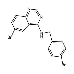 Brc1ccc(CNc2ncnc3ccc(Br)cc23)cc1